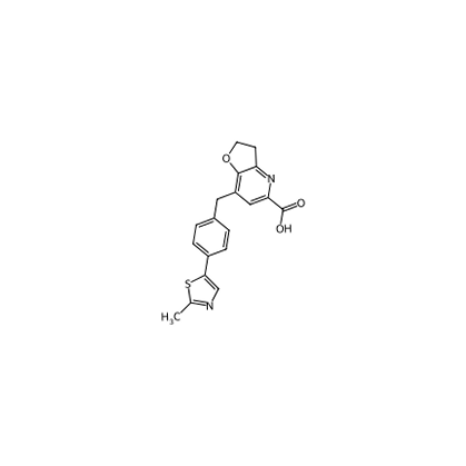 Cc1ncc(-c2ccc(Cc3cc(C(=O)O)nc4c3OCC4)cc2)s1